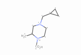 CC1CN(CC2CC2)CCN1C(=O)O